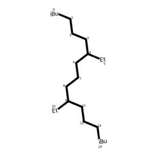 CCC(C)CCCC(CC)CCCC(CC)CCCC(C)CC